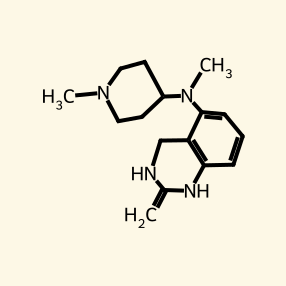 C=C1NCc2c(cccc2N(C)C2CCN(C)CC2)N1